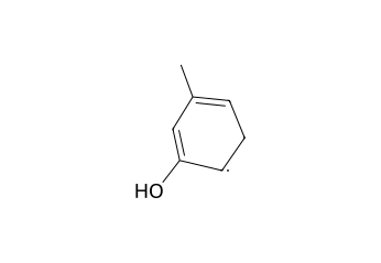 CC1=CC[CH]C(O)=C1